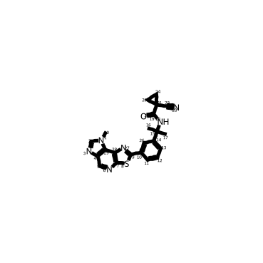 Cn1cnc2cnc3sc(-c4cccc(C(C)(C)NC(=O)C5(C#N)CC5)c4)nc3c21